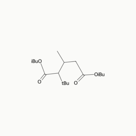 CC(C)COC(=O)CC(C)C(C(=O)OCC(C)C)C(C)(C)C